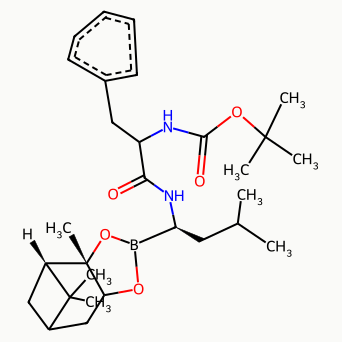 CC(C)C[C@H](NC(=O)C(Cc1ccccc1)NC(=O)OC(C)(C)C)B1OC2CC3C[C@@H](C3(C)C)[C@]2(C)O1